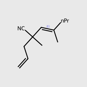 C=CCC(C)(C#N)/C=C(\C)CCC